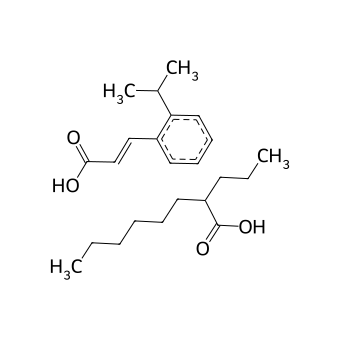 CC(C)c1ccccc1/C=C/C(=O)O.CCCCCCC(CCC)C(=O)O